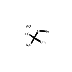 CC(C)(C)[O][Zn].Cl